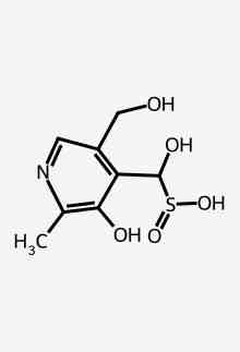 Cc1ncc(CO)c(C(O)S(=O)O)c1O